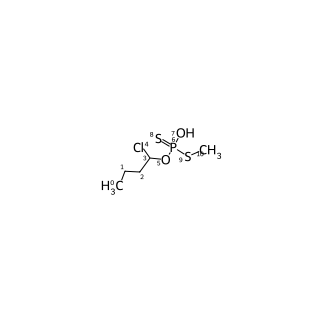 CCCC(Cl)OP(O)(=S)SC